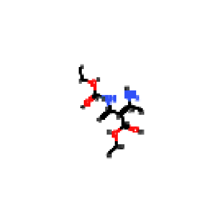 C=C(NC(=O)OCC)/C(C(=O)OCC)=C(/C)N